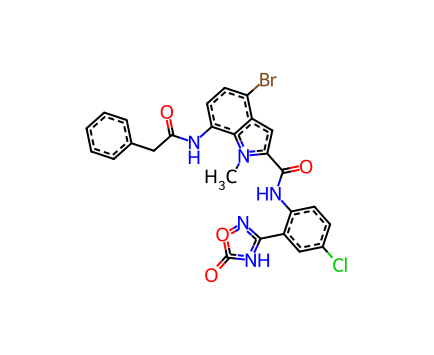 Cn1c(C(=O)Nc2ccc(Cl)cc2-c2noc(=O)[nH]2)cc2c(Br)ccc(NC(=O)Cc3ccccc3)c21